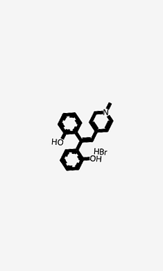 Br.CN1C=CC(C=C(c2ccccc2O)c2ccccc2O)=CC1